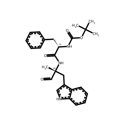 CC(C)(C)OC(=O)N[C@@H](Cc1ccccc1)C(=O)N[C@@](C)([C]=O)Cc1c[nH]c2ccccc12